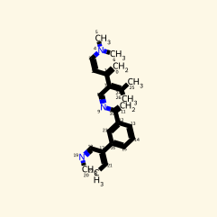 C=C(/C=C\N(C)C)C(/C=N\C(=C)c1cccc(C(/C=N\C)=C/C)c1)=C(C)C